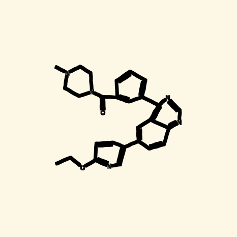 CCOc1ccc(-c2ccc3ncnc(-c4cccc(C(=O)N5CCN(C)CC5)c4)c3c2)cn1